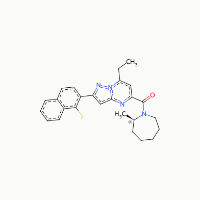 CCc1cc(C(=O)N2CCCCC[C@H]2C)nc2cc(-c3ccc4ccccc4c3F)nn12